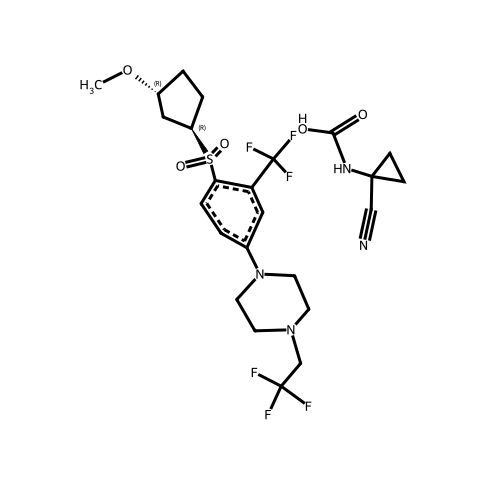 CO[C@@H]1CC[C@@H](S(=O)(=O)c2ccc(N3CCN(CC(F)(F)F)CC3)cc2C(F)(F)F)C1.N#CC1(NC(=O)O)CC1